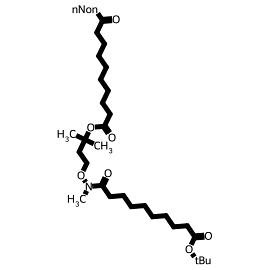 CCCCCCCCCC(=O)CCCCCCCCC(=O)OC(C)(C)CCON(C)C(=O)CCCCCCCCC(=O)OC(C)(C)C